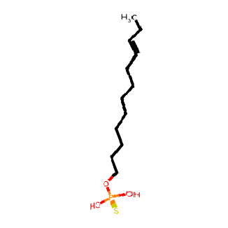 CCC=CCCCCCCCCOP(O)(O)=S